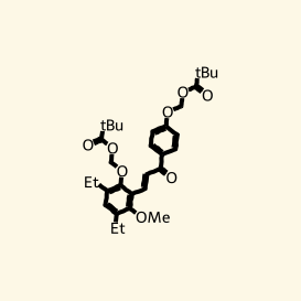 CCc1cc(CC)c(OCOC(=O)C(C)(C)C)c(/C=C/C(=O)c2ccc(OCOC(=O)C(C)(C)C)cc2)c1OC